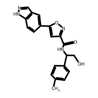 Cc1ccc(C(CO)NC(=O)c2cc(-c3ccc4[nH]ncc4c3)on2)cc1